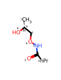 CCCC(=O)NOC[C@@H](C)O